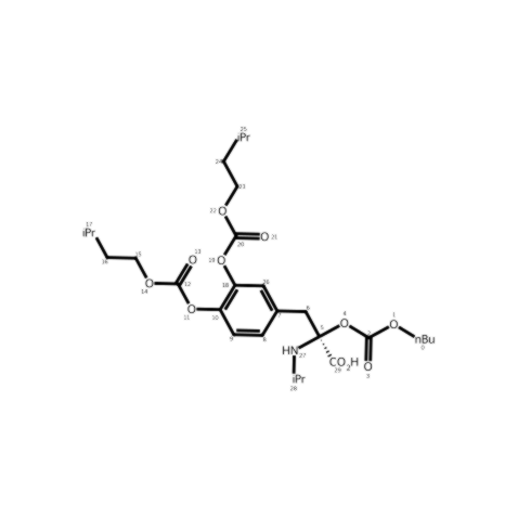 CCCCOC(=O)O[C@](Cc1ccc(OC(=O)OCCC(C)C)c(OC(=O)OCCC(C)C)c1)(NC(C)C)C(=O)O